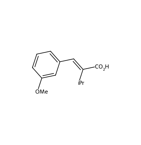 COc1cccc(C=C(C(=O)O)C(C)C)c1